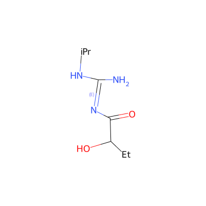 CCC(O)C(=O)/N=C(\N)NC(C)C